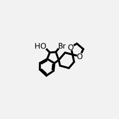 OC1c2ccccc2C2(CCCC3(C2)OCCO3)C1Br